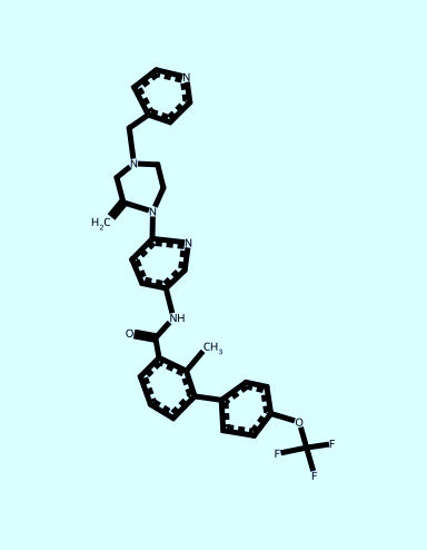 C=C1CN(Cc2ccncc2)CCN1c1ccc(NC(=O)c2cccc(-c3ccc(OC(F)(F)F)cc3)c2C)cn1